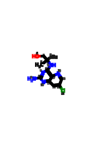 CCCCC(C)(CO)Nc1nc(N)nc2cc(Cl)cnc12